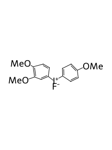 COc1ccc([I+]c2ccc(OC)c(OC)c2)cc1.[F-]